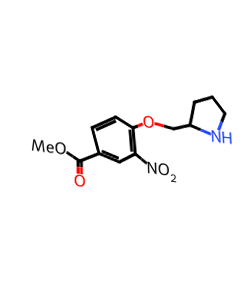 COC(=O)c1ccc(OCC2CCCN2)c([N+](=O)[O-])c1